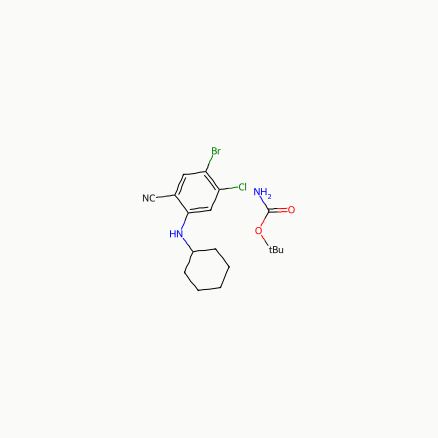 CC(C)(C)OC(N)=O.N#Cc1cc(Br)c(Cl)cc1NC1CCCCC1